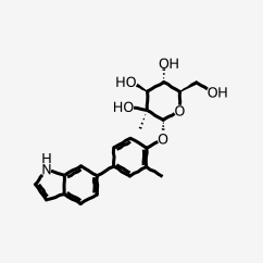 Cc1cc(-c2ccc3cc[nH]c3c2)ccc1O[C@H]1O[C@H](CO)[C@@H](O)[C@H](O)[C@]1(C)O